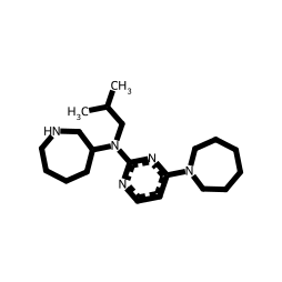 CC(C)CN(c1nccc(N2CCCCCC2)n1)C1CCCCNC1